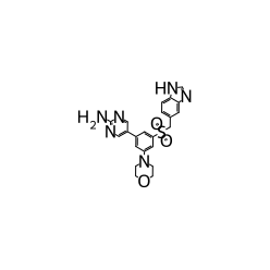 Nc1ncc(-c2cc(N3CCOCC3)cc(S(=O)(=O)Cc3ccc4[nH]cnc4c3)c2)cn1